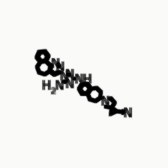 N#CC1CC12CCN(C1CCc3ccc(Nc4nc(N)n(-c5cc6c(nn5)-c5ccccc5CCC6)n4)cc3CC1)C2